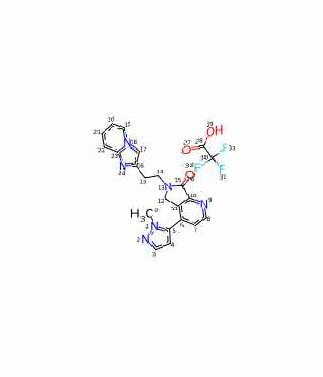 Cn1nccc1-c1ccnc2c1CN(CCc1cn3ccccc3n1)C2=O.O=C(O)C(F)(F)F